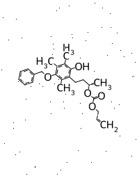 C=CCOC(=O)O[C@H](C)CCc1c(C)c(OCc2ccccc2)c(C)c(C)c1O